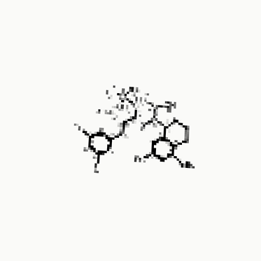 CCCCc1cc(CC)cc2c1CCC[C@@H]2N(C[C@@H](O[Si](C)(C)C(C)(C)C)[C@H](Cc1cc(F)cc(F)c1)NC(C)=O)B(C)O